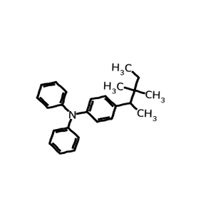 CCC(C)(C)C(C)c1ccc(N(c2ccccc2)c2ccccc2)cc1